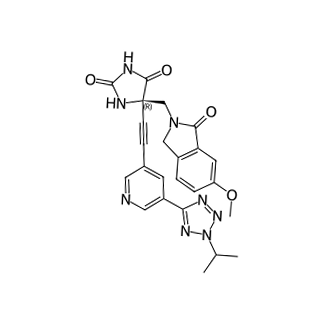 COc1ccc2c(c1)C(=O)N(C[C@@]1(C#Cc3cncc(-c4nnn(C(C)C)n4)c3)NC(=O)NC1=O)C2